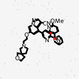 COc1ccc(CN2C3CC2CN(c2ccc(-c4cc(OCCN5CCC6(CCOC6)C5)cn5ncc(C#N)c45)cn2)C3)cn1